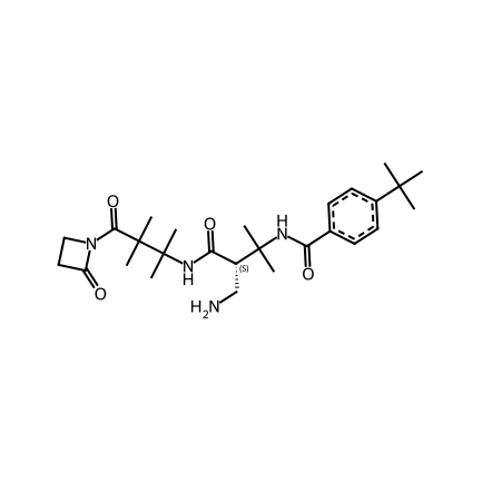 CC(C)(C)c1ccc(C(=O)NC(C)(C)[C@H](CN)C(=O)NC(C)(C)C(C)(C)C(=O)N2CCC2=O)cc1